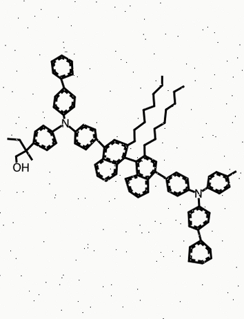 CCCCCCCCc1cc(-c2ccc(N(c3ccc(C)cc3)c3ccc(-c4ccccc4)cc3)cc2)c2ccccc2c1-c1c(CCCCCCCC)cc(-c2ccc(N(c3ccc(-c4ccccc4)cc3)c3ccc(C(C)(CC)CO)cc3)cc2)c2ccccc12